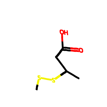 CSSC(C)CC(=O)O